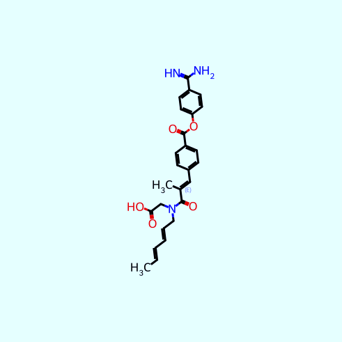 CC=CC=CCN(CC(=O)O)C(=O)/C(C)=C/c1ccc(C(=O)Oc2ccc(C(=N)N)cc2)cc1